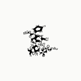 CCCCOP(=O)(CS(=O)(=O)C[C@H]1O[C@@H](n2ncc3c(N(C(=O)OC(C)(C)C)C4CCCC4)nc(Cl)nc32)[C@@H]2OC(C)(C)O[C@@H]21)OCCCC